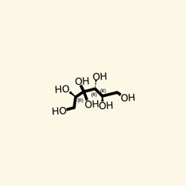 OC[C@@H](O)[C@@H](O)C(O)(O)[C@H](O)CO